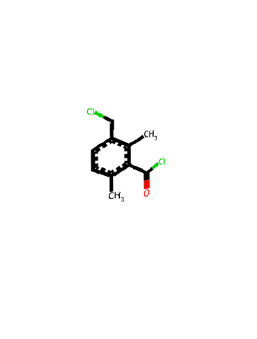 Cc1ccc(CCl)c(C)c1C(=O)Cl